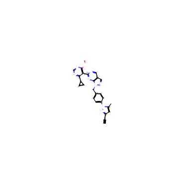 C#Cc1cc(C)n(-c2ccc(Cn3ncc4cnc(-c5c(OC)ncnc5C5CC5)nc43)cc2)n1